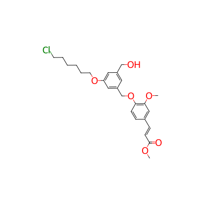 COC(=O)C=Cc1ccc(OCc2cc(CO)cc(OCCCCCCCl)c2)c(OC)c1